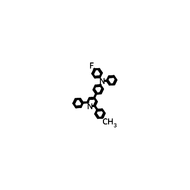 Cc1ccc(-c2cc(-c3ccc(N(c4ccccc4)c4ccc(F)cc4)cc3)cc(-c3ccccc3)n2)cc1